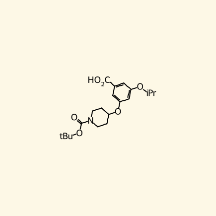 CC(C)Oc1cc(OC2CCN(C(=O)OC(C)(C)C)CC2)cc(C(=O)O)c1